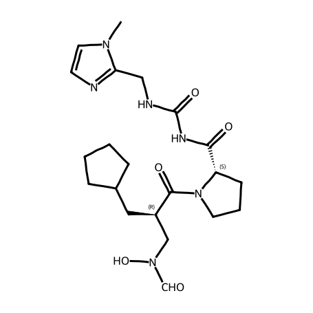 Cn1ccnc1CNC(=O)NC(=O)[C@@H]1CCCN1C(=O)[C@H](CC1CCCC1)CN(O)C=O